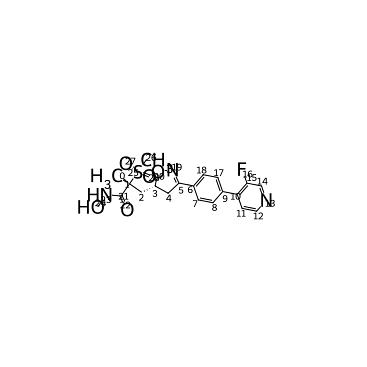 C[C@@](C[C@H]1CC(c2ccc(-c3ccncc3F)cc2)=NO1)(C(=O)NO)S(C)(=O)=O